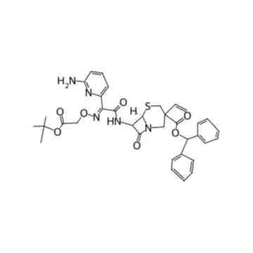 C=CC1(C(=O)OC(c2ccccc2)c2ccccc2)CS[C@@H]2C(NC(=O)C(=NOCC(=O)OC(C)(C)C)c3cccc(N)n3)C(=O)N2C1